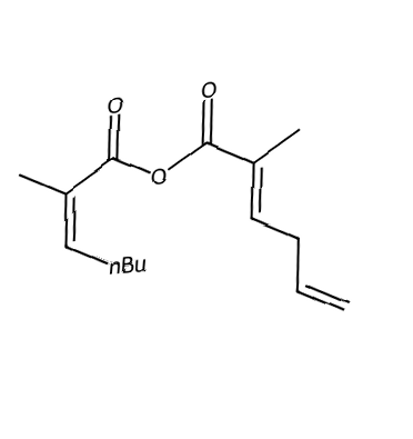 C=CCC=C(C)C(=O)OC(=O)C(C)=CCCCC